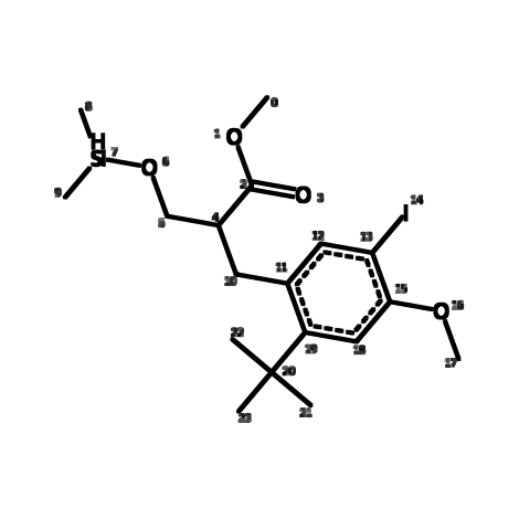 COC(=O)C(CO[SiH](C)C)Cc1cc(I)c(OC)cc1C(C)(C)C